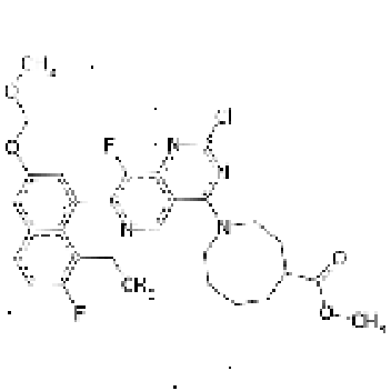 CCc1c(F)ccc2cc(OCOC)cc(-c3ncc4c(N5CCCCC(C(=O)OC)CC5)nc(Cl)nc4c3F)c12